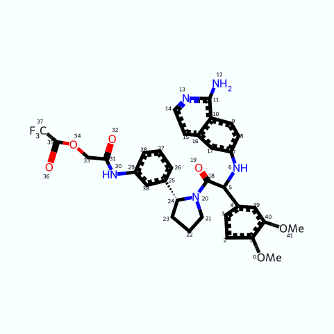 COc1ccc(C(Nc2ccc3c(N)nccc3c2)C(=O)N2CCC[C@@H]2c2cccc(NC(=O)COC(=O)C(F)(F)F)c2)cc1OC